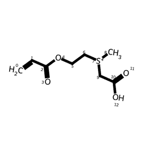 C=CC(=O)OCC[S+](C)CC(=O)O